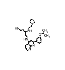 CC(C)Oc1cccc(-c2cc(N/C=C/C(=N\C=N)NCCN3CCCC3)c3cccnc3n2)c1